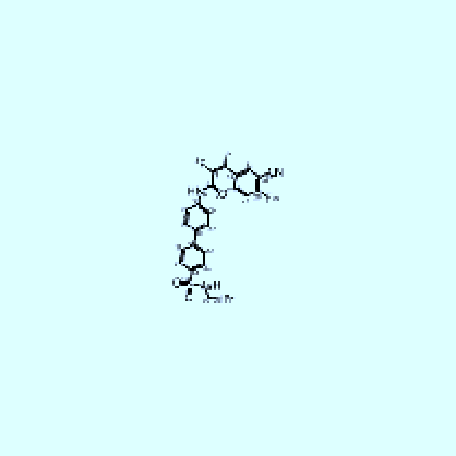 CC(=C(F)C(=O)Nc1ccc(-c2ccc(S(=O)(=O)[AsH]CC(C)C)cc2)cc1)c1ccc(F)c(C#N)c1